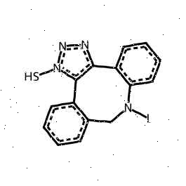 Sn1nnc2c1-c1ccccc1CN(I)c1ccccc1-2